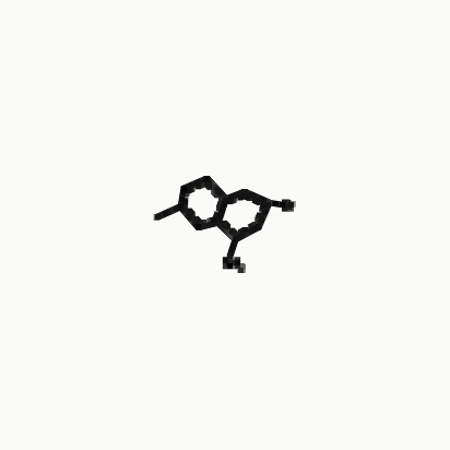 Cc1ccc2cc(Br)cc(N)c2c1